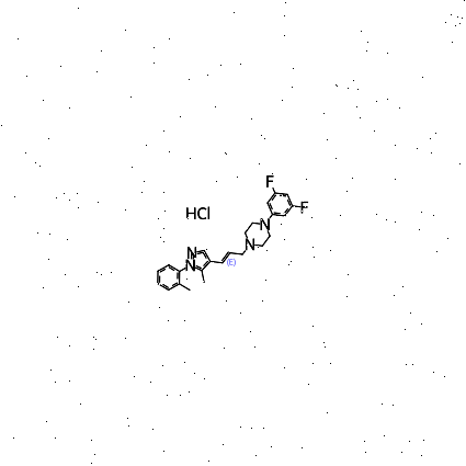 Cc1ccccc1-n1ncc(/C=C/CN2CCN(c3cc(F)cc(F)c3)CC2)c1C.Cl